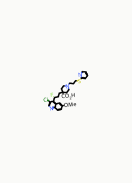 COc1ccc2ncc(Cl)c([C@H](F)CCC3(C(=O)O)CCN(CCCSc4ccccn4)CC3)c2c1